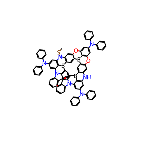 CSN1c2cc3c(cc2B2c4c1cc(N(c1ccccc1)c1ccccc1)cc4-n1c4ccccc4c4cccc2c41)B1c2cc4c(cc2Oc2cc(N(c5ccccc5)c5ccccc5)cc(c21)O3)Nc1cc(N(c2ccccc2)c2ccccc2)cc2c1B4c1cccc3c4ccccc4n-2c13